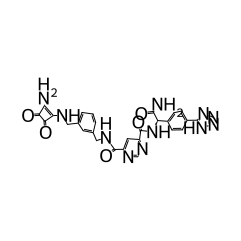 NC(=O)[C@H](NC(=O)c1cc(C(=O)NCc2cccc(CNc3c(N)c(=O)c3=O)c2)ncn1)c1ccc(-c2nnn[nH]2)cc1